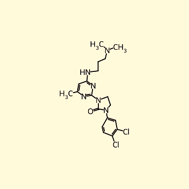 Cc1cc(NCCCN(C)C)nc(N2CCN(c3ccc(Cl)c(Cl)c3)C2=O)n1